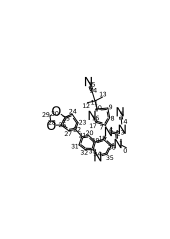 Cn1/c(=N/C#N)n(-c2ccc(C(C)(C)C#N)nc2)c2c3cc(-c4ccc5c(c4)OCO5)ccc3ncc21